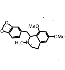 COc1cc2c(c(OC)c1)C(Cc1ccc3c(c1)OCO3)N(C)CC2